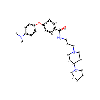 CN(C)c1ccc(Oc2ccc(C(=O)NCCCN3CCC(N4CCCCC4)CC3)cc2)cc1